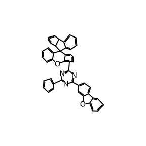 C1=CC2c3ccccc3C3(c4ccccc4Oc4c(-c5nc(-c6ccccc6)nc(-c6ccc7c(c6)oc6ccccc67)n5)cccc43)C2C=C1